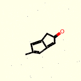 CC1=CC2=CC(=O)CC2=C1